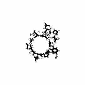 CC[C@H](C)[C@H]1NC(=O)[C@@H](NC(=O)[C@H](CC(C)C)N(C)C(=O)[C@@H]2CCCN2C(=O)C(C)=O)[C@@H](C)OC(=O)[C@H](Cc2ccc(OC)cc2)N(C)C(=O)[C@@H]2CCCN2C(=O)[C@H](CC(C)C)NC(=O)[C@@H](C)C(=O)[C@H](C(C)C)OC(=O)C[C@@H]1O